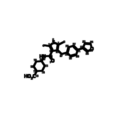 Cc1sc(C)c(C(=O)NC2CCC(C(=O)O)CC2)c1Cc1ccc(-c2ccoc2)cc1